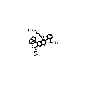 CCCCCOc1c(-c2ccccc2C(=O)O)ccc2cc(C(=O)OCC)c(C34CC5CC(CC(C5)C3)C4)cc12